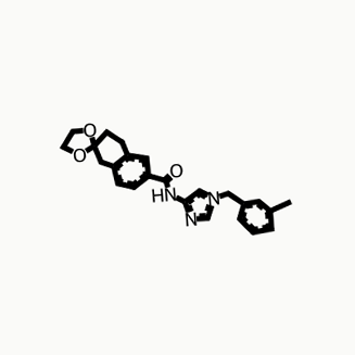 Cc1cccc(Cn2cnc(NC(=O)c3ccc4c(c3)CCC3(C4)OCCO3)c2)c1